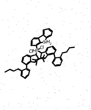 CCCCc1ccccc1-c1cccc2c1C=C(C(C)C)[CH]2[Hf]([Cl])([Cl])([c]1cccc2c1[SiH2]c1ccccc1-2)[CH]1C(C(C)C)=Cc2c(-c3ccccc3CCCC)cccc21